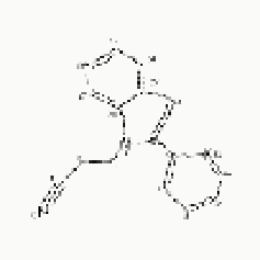 N#CCCn1c(-c2ccccn2)cc2ccccc21